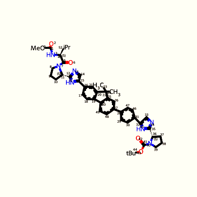 COC(=O)N[C@H](C(=O)N1CCC[C@H]1c1ncc(-c2ccc3c(c2)C(C)(C)c2cc(-c4ccc(-c5cnc([C@@H]6CCCN6C(=O)OC(C)(C)C)[nH]5)cc4)ccc2-3)[nH]1)C(C)C